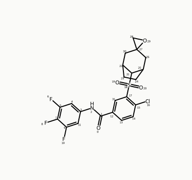 O=C(Nc1cc(F)c(F)c(F)c1)c1ccc(Cl)c(S(=O)(=O)C2C3CCC2CC2(CO2)C3)c1